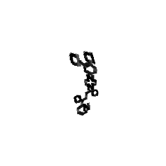 O=C(CCC(=O)N1CCN(c2ccc(Cl)c(Cl)c2)CC1)c1ccccn1